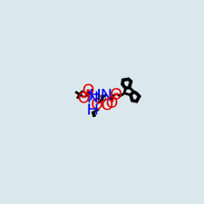 C=CCOC(=O)[C@H](CNC(=O)OC(C)(C)C)NC(=O)OCC1c2ccccc2-c2ccccc21